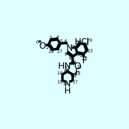 COc1ccc(Cn2cc(C(=O)N[C@H]3CCNC[C@H]3F)c3c(F)cccc32)cc1.Cl